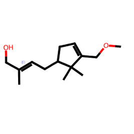 COCC1=CCC(C/C=C(\C)CO)C1(C)C